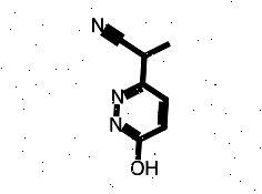 CC(C#N)c1ccc(O)nn1